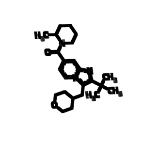 CC1CCCCN1C(=O)c1ccn2c(CC3CCOCC3)c(C(C)(C)C)nc2c1